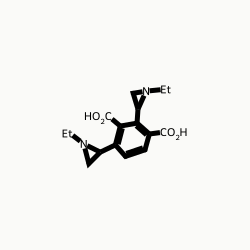 CCN1CC1c1ccc(C(=O)O)c(C2CN2CC)c1C(=O)O